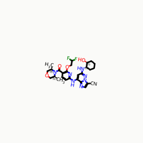 C[C@@H]1COC[C@H](C)N1C(=O)c1ccc(Nc2cc(N[C@H]3CCCC[C@@H]3O)nn3c(C#N)cnc23)nc1OCC(F)F